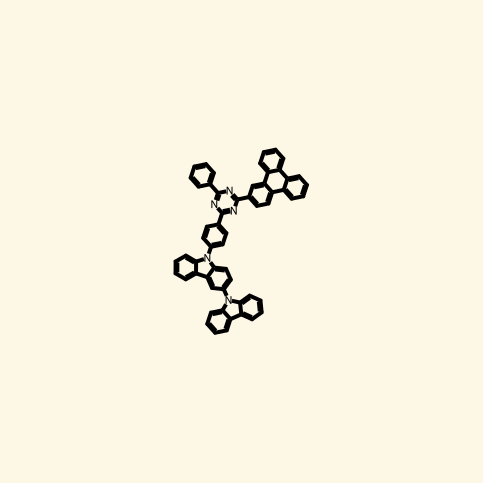 c1ccc(-c2nc(-c3ccc(-n4c5ccccc5c5cc(-n6c7ccccc7c7ccccc76)ccc54)cc3)nc(-c3ccc4c5ccccc5c5ccccc5c4c3)n2)cc1